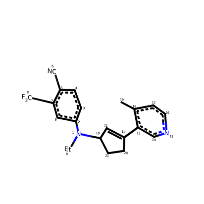 CCN(c1ccc(C#N)c(C(F)(F)F)c1)C1C=C(c2cnccc2C)CC1